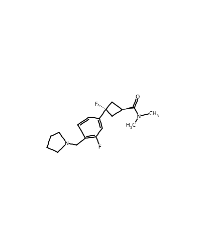 CN(C)C(=O)[C@H]1C[C@@](F)(c2ccc(CN3CCCC3)c(F)c2)C1